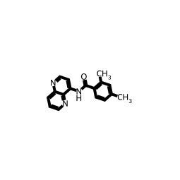 Cc1ccc(C(=O)Nc2ccnc3cccnc23)c(C)c1